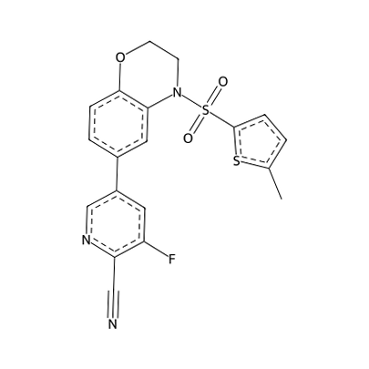 Cc1ccc(S(=O)(=O)N2CCOc3ccc(-c4cnc(C#N)c(F)c4)cc32)s1